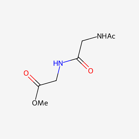 COC(=O)CNC(=O)CNC(C)=O